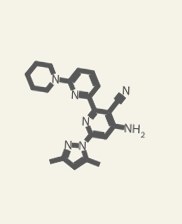 Cc1cc(C)n(-c2cc(N)c(C#N)c(-c3cccc(N4CCCCC4)n3)n2)n1